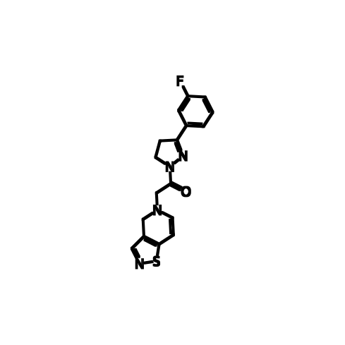 O=C(CN1C=Cc2sncc2C1)N1CCC(c2cccc(F)c2)=N1